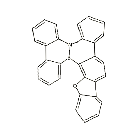 c1ccc2c(c1)B1c3c(ccc4c3oc3ccccc34)-c3ccccc3N1c1ccccc1-2